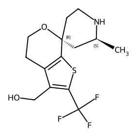 C[C@H]1C[C@@]2(CCN1)OCCc1c2sc(C(F)(F)F)c1CO